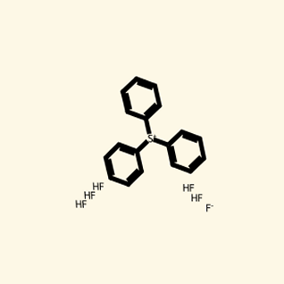 F.F.F.F.F.[F-].c1ccc([S+](c2ccccc2)c2ccccc2)cc1